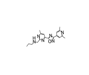 CCCNCc1nc(C)cc(-c2nc(-c3cc(C)nc(C)c3)no2)n1